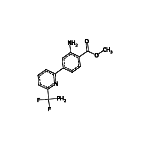 COC(=O)c1ccc(-c2cccc(C(F)(F)P)n2)cc1N